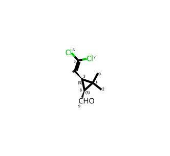 CC1(C)[C@H](C=C(Cl)Cl)[C@@H]1C=O